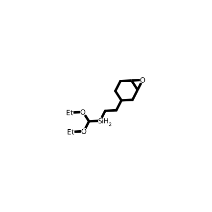 CCOC(OCC)[SiH2]CCC1CCC2OC2C1